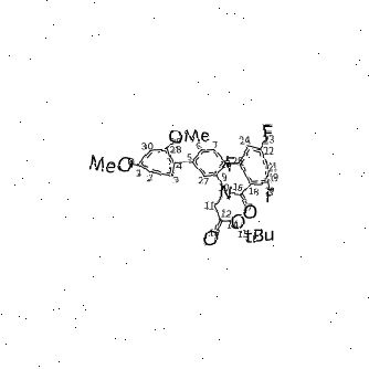 COc1ccc(-c2cccc(N(CC(=O)OC(C)(C)C)C(=O)c3c(F)cc(F)cc3F)c2)c(OC)c1